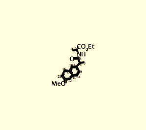 CCOC(=O)C(C)NC(=O)C(C)c1ccc2cc(OC)ccc2c1